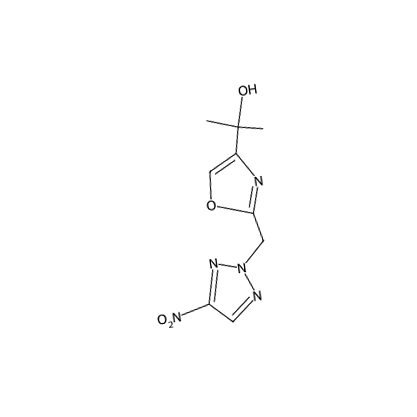 CC(C)(O)c1coc(Cn2ncc([N+](=O)[O-])n2)n1